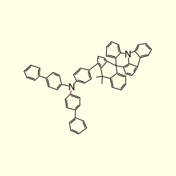 CC1(C)c2ccccc2C2(c3ccccc3-n3c4ccccc4c4cccc2c43)c2cccc(-c3ccc(N(c4ccc(-c5ccccc5)cc4)c4ccc(-c5ccccc5)cc4)cc3)c21